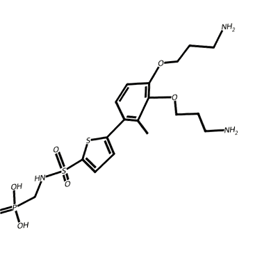 Cc1c(-c2ccc(S(=O)(=O)NCP(=O)(O)O)s2)ccc(OCCCN)c1OCCCN